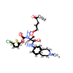 COC(=O)CCCOC[C@@](C)(NC(=O)Oc1ccc(Cl)s1)C(=O)Nc1ccc2c(c1)CCN(C)CC2